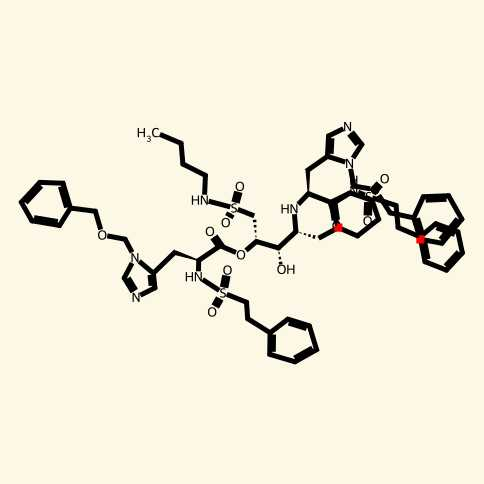 CCCCNS(=O)(=O)C[C@@H](OC(=O)[C@H](Cc1cncn1COCc1ccccc1)NS(=O)(=O)CCc1ccccc1)[C@@H](O)[C@@H](CC1CCCCC1)N[C@@H](Cc1cncn1COCc1ccccc1)C(=O)NS(=O)(=O)CCc1ccccc1